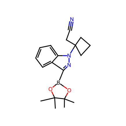 CC1(C)OB(c2nn(C3(CC#N)CCC3)c3ccccc23)OC1(C)C